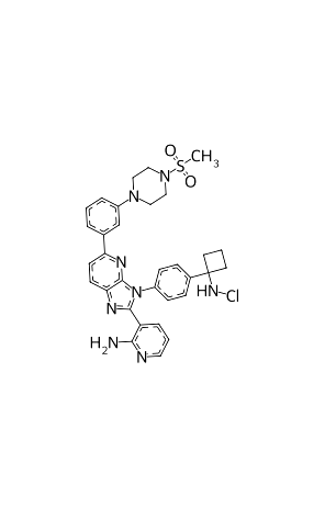 CS(=O)(=O)N1CCN(c2cccc(-c3ccc4nc(-c5cccnc5N)n(-c5ccc(C6(NCl)CCC6)cc5)c4n3)c2)CC1